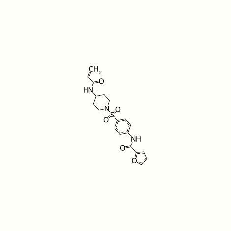 C=CC(=O)NC1CCN(S(=O)(=O)c2ccc(NC(=O)c3ccco3)cc2)CC1